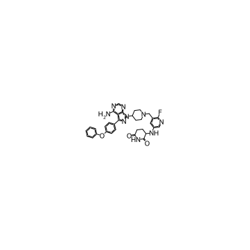 Nc1ncnc2c1c(-c1ccc(Oc3ccccc3)cc1)nn2C1CCN(Cc2cc(NC3CCC(=O)NC3=O)cnc2F)CC1